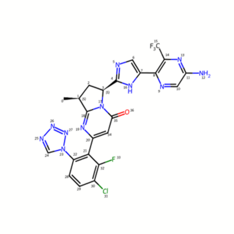 C[C@H]1C[C@@H](c2ncc(-c3ncc(N)nc3C(F)(F)F)[nH]2)n2c1nc(-c1c(-n3cnnn3)ccc(Cl)c1F)cc2=O